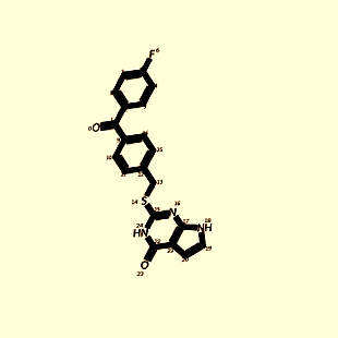 O=C(c1ccc(F)cc1)c1ccc(CSc2nc3[nH]ccc3c(=O)[nH]2)cc1